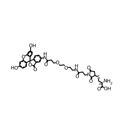 N[C@@H](CSC1CC(=O)N(CCC(=O)NCCOCCOCCC(=O)Nc2ccc3c(c2)C(=O)OC32c3ccc(O)cc3Oc3cc(O)ccc32)C1=O)C(=O)O